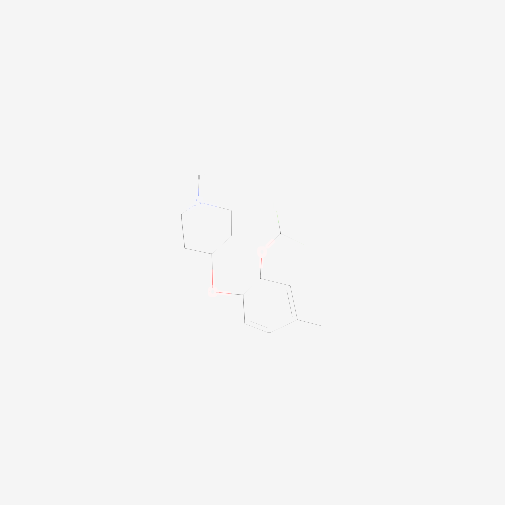 Cc1ccc(OC2CCN(C(C)C)CC2)c(OC(F)F)c1